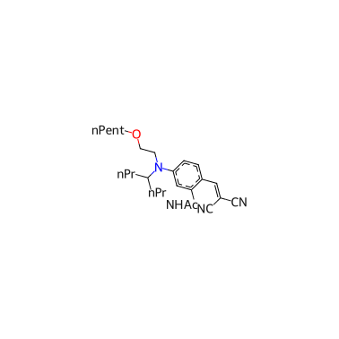 CCCCCOCCN(c1ccc(C=C(C#N)C#N)c(NC(C)=O)c1)C(CCC)CCC